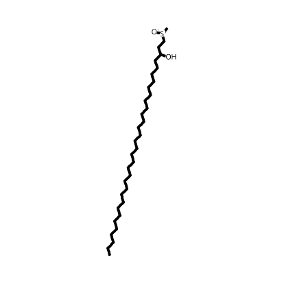 CCCCCCCCCCCCCCCCCCCCCCCCCCCCCCC(O)CC[S+](C)[O-]